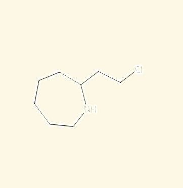 ClCCC1CCCCCN1